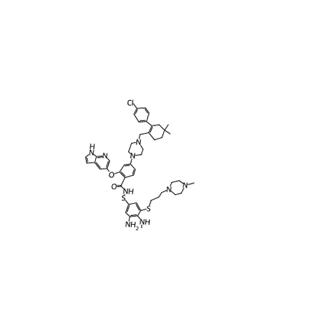 CNc1c(N)cc(SNC(=O)c2ccc(N3CCN(CC4=C(c5ccc(Cl)cc5)CC(C)(C)CC4)CC3)cc2Oc2cnc3[nH]ccc3c2)cc1SCCCN1CCN(C)CC1